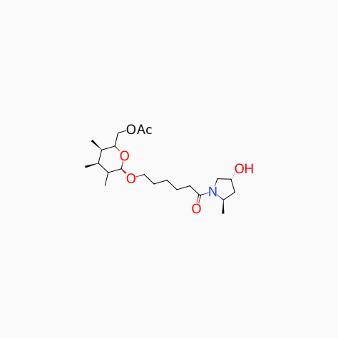 CC(=O)OCC1O[C@@H](OCCCCCC(=O)N2C[C@H](O)C[C@H]2C)C(C)[C@@H](C)[C@H]1C